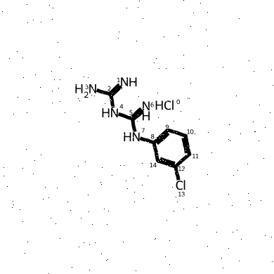 Cl.N=C(N)NC(=N)Nc1cccc(Cl)c1